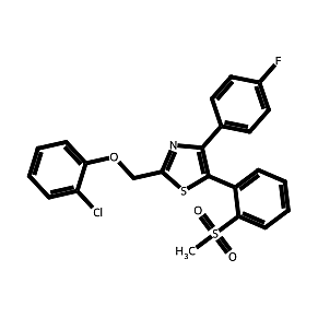 CS(=O)(=O)c1ccccc1-c1sc(COc2ccccc2Cl)nc1-c1ccc(F)cc1